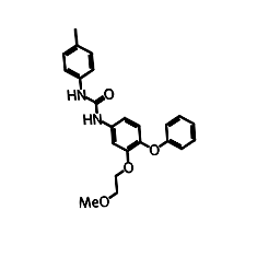 COCCOc1cc(NC(=O)Nc2ccc(C)cc2)ccc1Oc1ccccc1